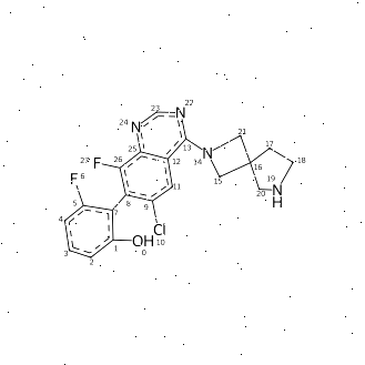 Oc1cccc(F)c1-c1c(Cl)cc2c(N3CC4(CCNC4)C3)ncnc2c1F